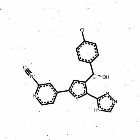 [C-]#[N+]c1cc(-c2cc([C@@H](O)c3ccc(Cl)cc3)c(-c3nnc[nH]3)s2)ccn1